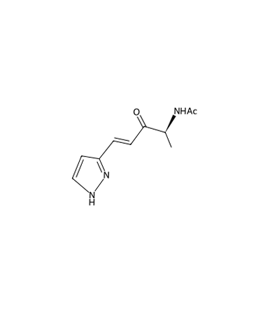 CC(=O)N[C@@H](C)C(=O)/C=C/c1cc[nH]n1